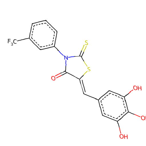 O=C1C(=Cc2cc(O)c(O)c(O)c2)SC(=S)N1c1cccc(C(F)(F)F)c1